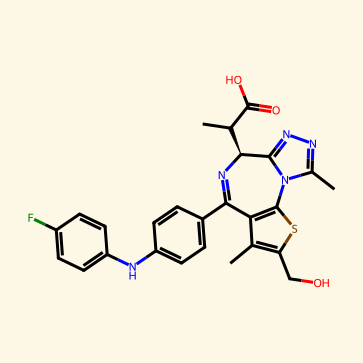 Cc1c(CO)sc2c1C(c1ccc(Nc3ccc(F)cc3)cc1)=N[C@@H](C(C)C(=O)O)c1nnc(C)n1-2